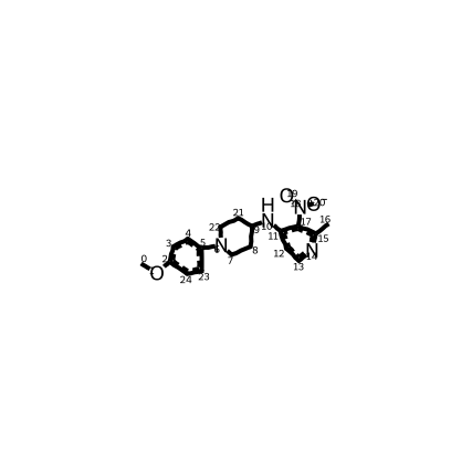 COc1ccc(N2CCC(Nc3ccnc(C)c3[N+](=O)[O-])CC2)cc1